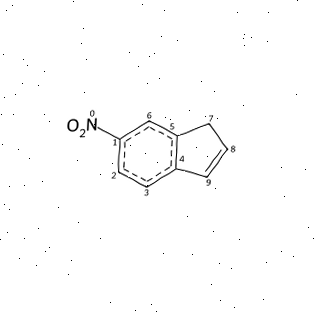 O=[N+]([O-])c1ccc2c(c1)CC=C2